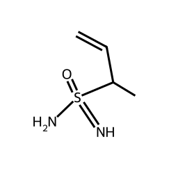 C=CC(C)S(=N)(N)=O